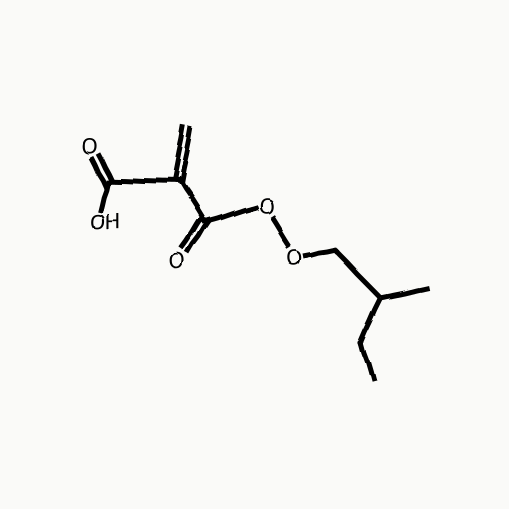 C=C(C(=O)O)C(=O)OOCC(C)CC